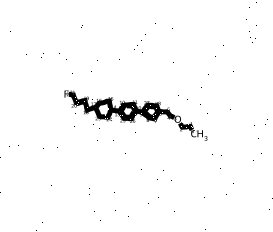 CCCOCCc1ccc(-c2ccc(C3CCC(C/C=C/CF)CC3)cc2)cc1